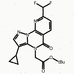 CC(C)(C)OC(=O)Cn1c(=O)c2ccc(C(F)F)nc2n2ncc(C3CC3)c12